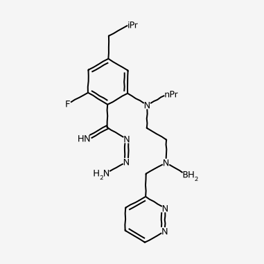 BN(CCN(CCC)c1cc(CC(C)C)cc(F)c1C(=N)/N=N\N)Cc1cccnn1